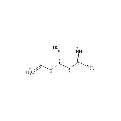 C=CCSSC(=N)N.Cl